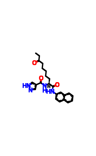 CCC(=O)CCCCC[C@H](NC(=O)c1cn[nH]c1)C(=O)Nc1ccc2ccccc2c1